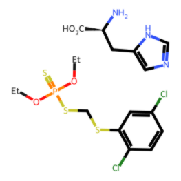 CCOP(=S)(OCC)SCSc1cc(Cl)ccc1Cl.N[C@@H](Cc1cnc[nH]1)C(=O)O